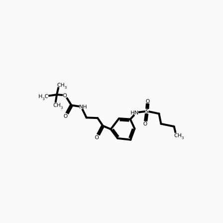 CCCCS(=O)(=O)Nc1cccc(C(=O)CCNC(=O)OC(C)(C)C)c1